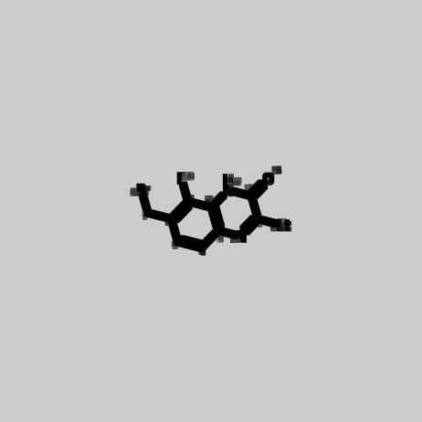 CCc1nc2ccc(CBr)c(F)c2[nH]c1=O